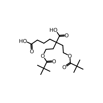 CC(C)(C)C(=O)OCCC(CCCC(=O)O)(CCOC(=O)C(C)(C)C)C(=O)O